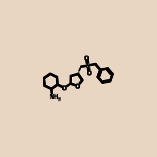 NC1CCCCC1O[C@H]1C[C@H](CS(=O)(=O)Cc2ccccc2)CO1